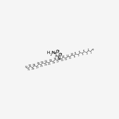 CCCCCCCCCCCCCCCCN(CCCCCCCCCCCCCCCC)C(=O)CC(N)=O